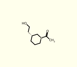 CC(=O)N1CCC[C@H](CCO)C1